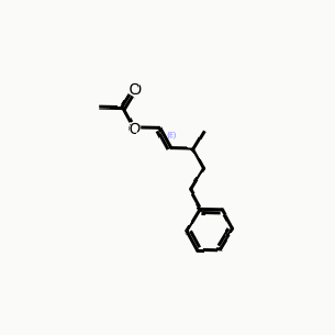 CC(=O)O/C=C/C(C)CCc1ccccc1